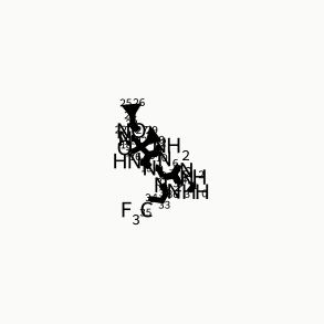 [2H]C([2H])([2H])n1ncc2c(-c3nc(N)c4c(n3)NC(=O)C4(c3nnc(C4CC4)o3)C3CC3)nc(CCC(F)(F)F)nc21